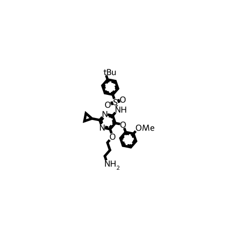 COc1ccccc1Oc1c(NS(=O)(=O)c2ccc(C(C)(C)C)cc2)nc(C2CC2)nc1OCCCN